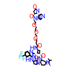 CC(C)N(C)[C@@H]1CC[C@H](N2CC[C@H](Nc3ncnc4ccc(C(F)(F)F)cc34)C2=O)[C@H](NC(=O)[C@H]2C[C@H](NC(=O)CCOCCOCCOCCNC(=O)[C@H]3CC(=O)N(C)[C@@H]3c3cccnc3)C2)C1